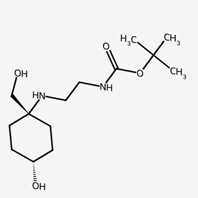 CC(C)(C)OC(=O)NCCN[C@]1(CO)CC[C@H](O)CC1